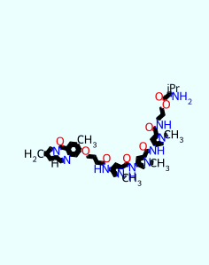 C=C1C[C@H]2C=Nc3cc(OCCCC(=O)Nc4cc(C(=O)Nc5cc(C(=O)Nc6cc(C(=O)NCCCOC(=O)C(N)C(C)C)n(C)c6)n(C)c5)n(C)c4)c(C)cc3C(=O)N2C1